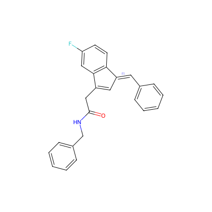 O=C(CC1=C/C(=C\c2ccccc2)c2ccc(F)cc21)NCc1ccccc1